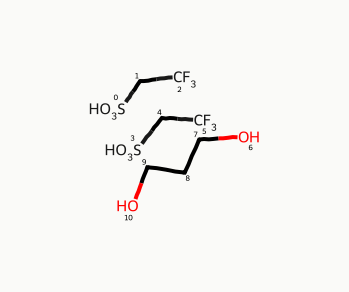 O=S(=O)(O)CC(F)(F)F.O=S(=O)(O)CC(F)(F)F.OCCCO